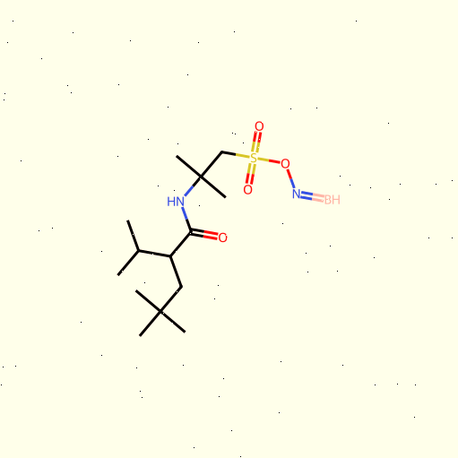 B=NOS(=O)(=O)CC(C)(C)NC(=O)C(CC(C)(C)C)C(C)C